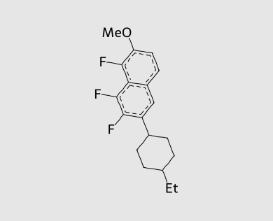 CCC1CCC(c2cc3ccc(OC)c(F)c3c(F)c2F)CC1